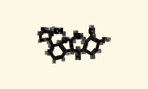 Cn1nccc1-c1nccc2c(Nc3ccc(F)c(Cl)c3)c(N)oc12